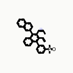 C=Cc1c(/C=C\C)c(-c2ccc3ccccc3c2)c2ccccc2c1-c1cccc(P(C)(C)=O)c1